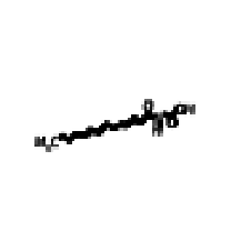 CCCCCCCCC/C=C/C=C/C(=O)NCC(=O)O